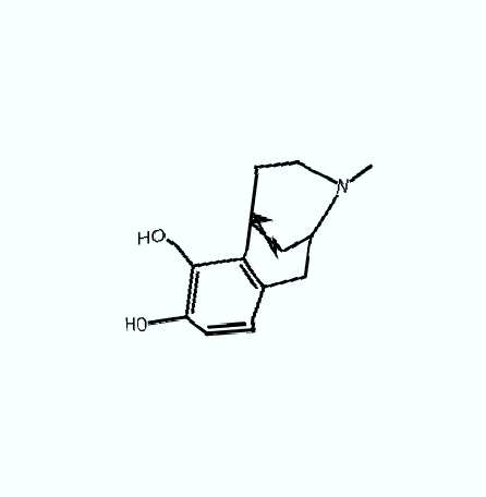 CN1CCC23CCCCC2C1Cc1ccc(O)c(O)c13